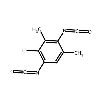 Cc1cc(N=C=O)c(Cl)c(C)c1N=C=O